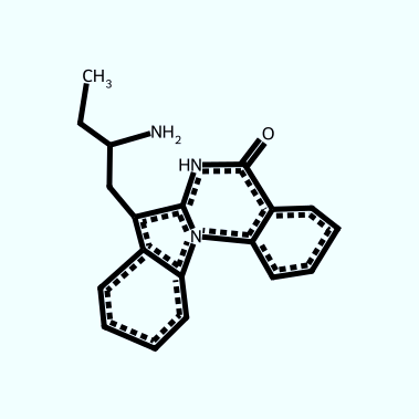 CCC(N)Cc1c2ccccc2n2c1[nH]c(=O)c1ccccc12